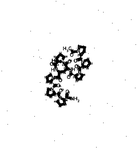 CC(=O)N1CCC[C@H]1C(=O)N1CCC[C@H]1C(=O)N1CCC[C@H]1C(=O)NC1CC(C(=O)N2CCC[C@H]2C(=O)N2CCC[C@H]2C(=O)N2CCC[C@H]2C(N)=O)NC(=O)[C@@H]2CCCN2C1=O